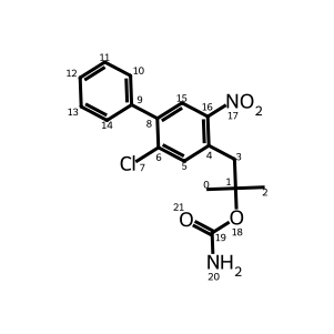 CC(C)(Cc1cc(Cl)c(-c2ccccc2)cc1[N+](=O)[O-])OC(N)=O